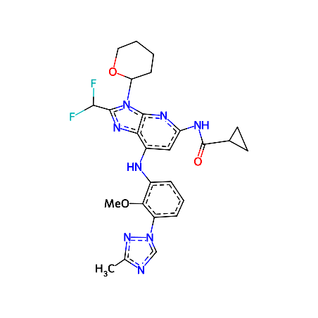 COc1c(Nc2cc(NC(=O)C3CC3)nc3c2nc(C(F)F)n3C2CCCCO2)cccc1-n1cnc(C)n1